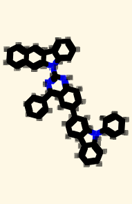 c1ccc(-c2nc(-n3c4ccccc4c4cc5ccccc5cc43)nc3ccc(-c4ccc5c6ccccc6n(-c6ccccc6)c5c4)cc23)cc1